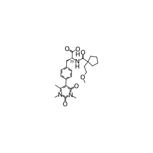 COCCC1(C(=O)N[C@@H](Cc2ccc(-c3c(C)n(C)c(=O)n(C)c3=O)cc2)C(=O)O)CCCC1